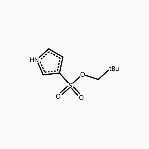 CC(C)(C)COS(=O)(=O)c1cc[nH]c1